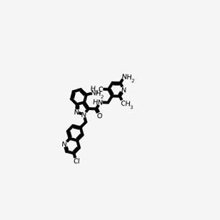 Cc1cc(N)nc(C)c1CNC(=O)c1c2c(N)cccc2nn1Cc1ccc2ncc(Cl)cc2c1